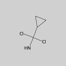 [NH]C(Cl)(Cl)C1CC1